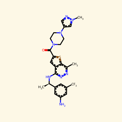 Cc1nnc(N[C@H](C)c2cc(N)cc(C(F)(F)F)c2)c2cc(C(=O)N3CCN(c4cnn(C)c4)CC3)sc12